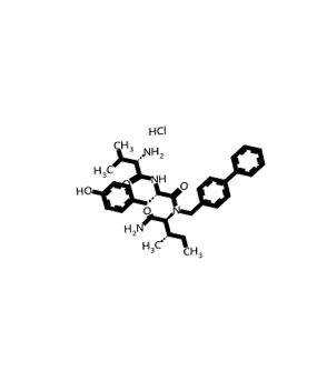 CC[C@H](C)[C@@H](C(N)=O)N(Cc1ccc(-c2ccccc2)cc1)C(=O)[C@H](Cc1ccc(O)cc1)NC(=O)[C@@H](N)C(C)C.Cl